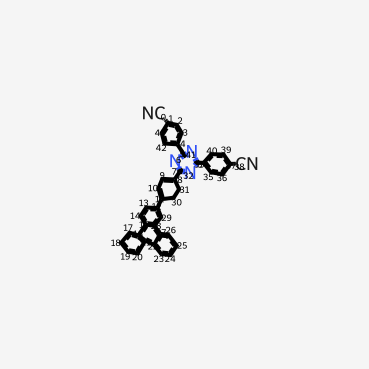 N#Cc1ccc(-c2nc(C3=CC=C(c4ccc5c6ccccc6c6ccccc6c5c4)CC3)nc(-c3ccc(C#N)cc3)n2)cc1